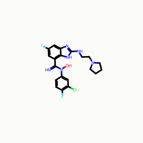 N=C(c1cc(F)cc2nc(NCCN3CCCC3)[nH]c12)N(O)c1ccc(F)c(Cl)c1